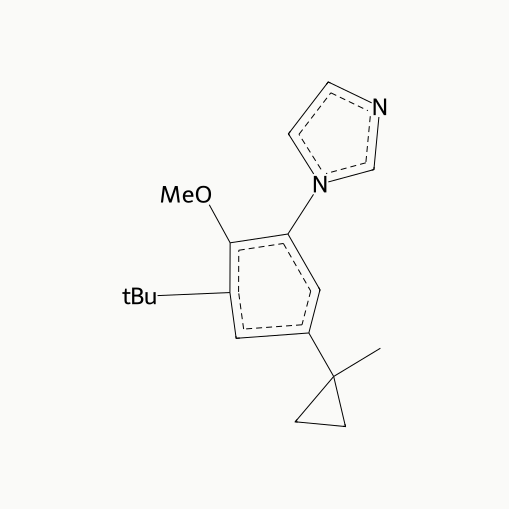 COc1c(-n2ccnc2)cc(C2(C)CC2)cc1C(C)(C)C